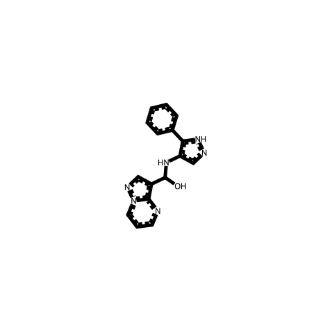 OC(Nc1cn[nH]c1-c1ccccc1)c1cnn2cccnc12